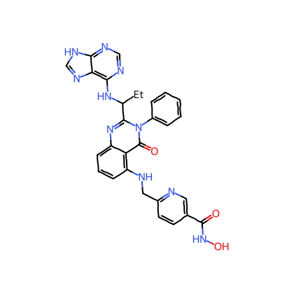 CCC(Nc1ncnc2[nH]cnc12)c1nc2cccc(NCc3ccc(C(=O)NO)cn3)c2c(=O)n1-c1ccccc1